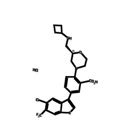 Cl.O=C(O)c1cc(-c2csc3cc(C(F)(F)F)c(Cl)cc23)ccc1N1CCO[C@H](CNC2CCC2)C1